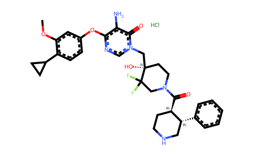 COc1cc(Oc2ncn(C[C@@]3(O)CCN(C(=O)[C@@H]4CCNC[C@H]4c4ccccc4)CC3(F)F)c(=O)c2N)ccc1C1CC1.Cl